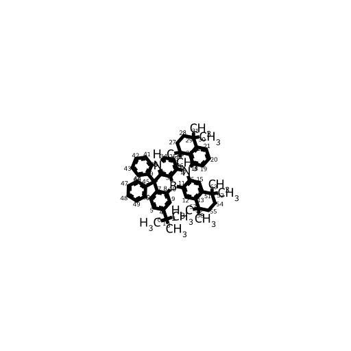 CC(C)(C)c1ccc2c(c1)B1c3cc4c(cc3N(c3cccc5c3C(C)(C)CCC5(C)C)c3ccnc(c31)C2(c1ccccc1)c1ccccc1)C(C)(C)CCC4(C)C